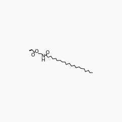 C=CC(=O)OCCNC(=O)CCCCCCCCCCCCCCCCCCCC